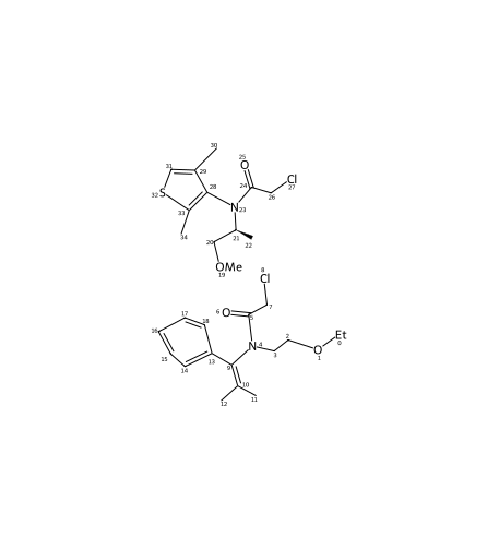 CCOCCN(C(=O)CCl)C(=C(C)C)c1ccccc1.COC[C@H](C)N(C(=O)CCl)c1c(C)csc1C